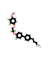 C=CCCc1ccc(-c2ccc(OC(F)(F)COc3ccc(OCC)c(F)c3F)c(F)c2)cc1